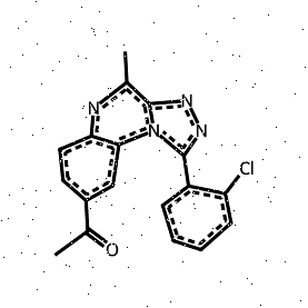 CC(=O)c1ccc2nc(C)c3nnc(-c4ccccc4Cl)n3c2c1